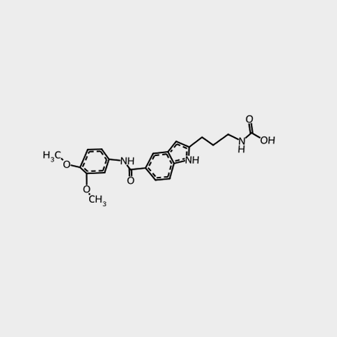 COc1ccc(NC(=O)c2ccc3[nH]c(CCCNC(=O)O)cc3c2)cc1OC